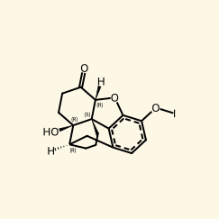 O=C1CC[C@@]2(O)[C@@H]3CCC[C@@]24c2c(ccc(OI)c2O[C@@H]14)C3